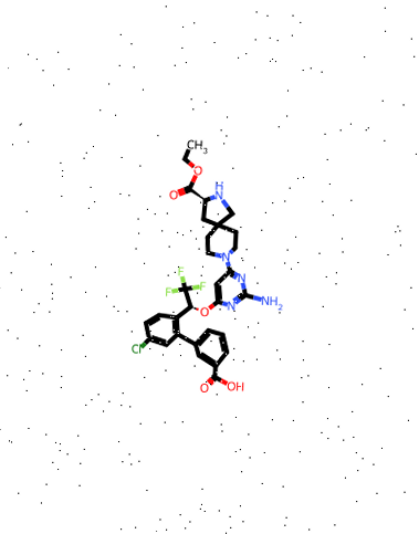 CCOC(=O)[C@@H]1CC2(CCN(c3cc(O[C@H](c4ccc(Cl)cc4-c4cccc(C(=O)O)c4)C(F)(F)F)nc(N)n3)CC2)CN1